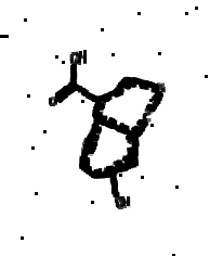 O=C(O)c1cncc2cc(O)ccc12